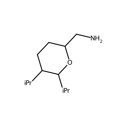 CC(C)C1CCC(CN)OC1C(C)C